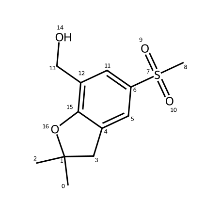 CC1(C)Cc2cc(S(C)(=O)=O)cc(CO)c2O1